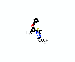 Cc1sc(-c2cc(OCCc3ccccc3)cc(C(F)(F)F)c2)nc1Cn1cc(C(=O)O)cn1